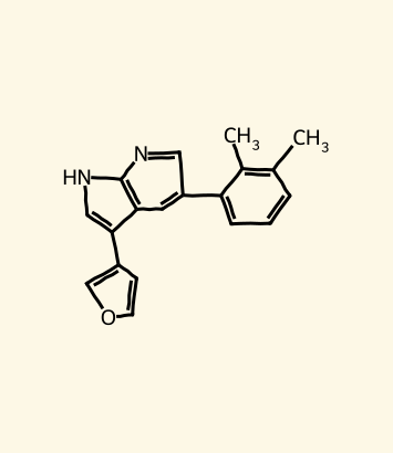 Cc1cccc(-c2cnc3[nH]cc(-c4ccoc4)c3c2)c1C